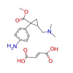 COC(=O)C1(c2ccc(N)cc2)CC1CN(C)C.O=C(O)C=CC(=O)O